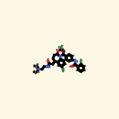 COC1CCC(CC(=O)NCCN(C)C)c2cc(Cl)ccc2N1C(=O)c1ccc(NC(=O)c2ccccc2Cl)cc1.Cl